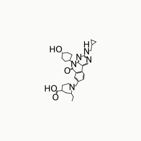 CCC1CC(C(=O)O)CCN1Cc1ccc2c(c1)c(=O)n(C1CCC(O)CC1)c1nc(NCC3CC3)ncc21